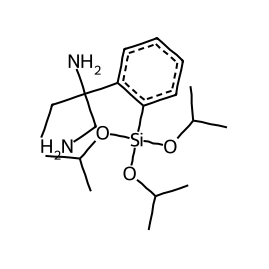 CCC(N)(CN)c1ccccc1[Si](OC(C)C)(OC(C)C)OC(C)C